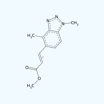 COC(=O)/C=C/c1ccc2c(nnn2C)c1C